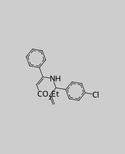 C=CC(N/C(=C\C(=O)OCC)c1ccccc1)c1ccc(Cl)cc1